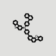 c1ccc2c(-c3ccc(N(c4ccc(-c5ccc6ccc7c8ccccc8oc7c6c5)cc4)c4ccc5sc6ccccc6c5c4)cc3)cccc2c1